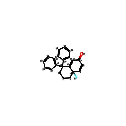 O=C1C=C[C@]2(F)CCCC(c3ccccc3)(c3ccccc3)C2=C1